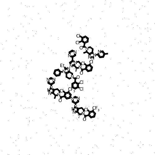 CC1c2nnn(-c3cncnc3)c2CCN1C(=O)c1cccc(C(F)(F)F)c1Cl.CCc1nc2c(n1-c1ccccc1)CCN(C(=O)c1cccc(Cl)c1Cl)C2.C[C@@H]1c2nnn(-c3cncnc3)c2CCN1C(=O)c1cccc(C(F)(F)F)c1Cl.C[C@H]1c2ncc(-c3cnccn3)n2CCN1C(=O)c1cccc(Cl)c1Cl.Cc1ccc(-n2nnc3c2CCN(C(=O)c2cccc(Cl)c2Cl)C3C)nc1